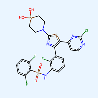 O=S(=O)(Nc1cccc(-c2nc(N3CCS(O)(O)CC3)sc2-c2ccnc(Cl)n2)c1F)c1c(F)cccc1F